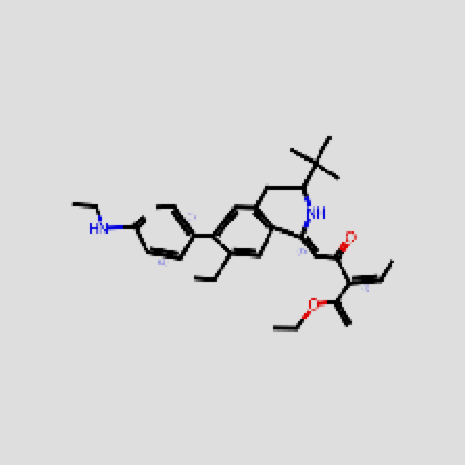 C=C(/C=C\C(=C/C)c1cc2c(cc1CC)/C(=C/C(=O)/C(=C\C)C(=C)OCC)NC(C(C)(C)C)C2)NCC